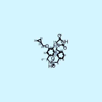 C[C@@H](NS(=O)(=O)Cc1cccc(CN2CC(=O)NC2=O)c1)c1ccc(F)c(OCC2CC2)c1